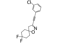 FC1(F)CCC2(CC1)CC(C#Cc1cccc(Cl)c1)=NO2